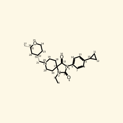 CCN1C(=O)N(c2ccc(C3CC3)cc2)C(=O)C12CCN(C[C@H]1CCO[C@@H](C)C1)CC2